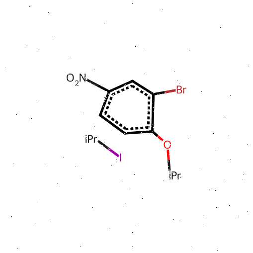 CC(C)I.CC(C)Oc1ccc([N+](=O)[O-])cc1Br